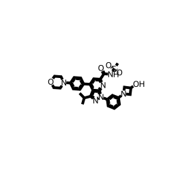 CC(C)c1nn(-c2cccc(N3CC(O)C3)c2)c2nc(C(=O)NS(C)(=O)=O)cc(-c3ccc(N4CCOCC4)cc3)c12